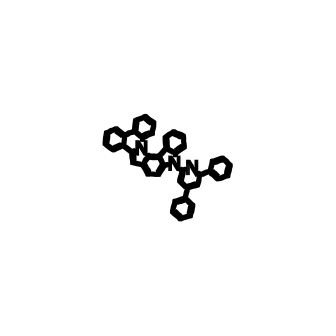 c1ccc(-c2cc(-c3ccccc3)nc(-n3c4ccccc4c4c3ccc3cc5c6ccccc6c6ccccc6n5c34)c2)cc1